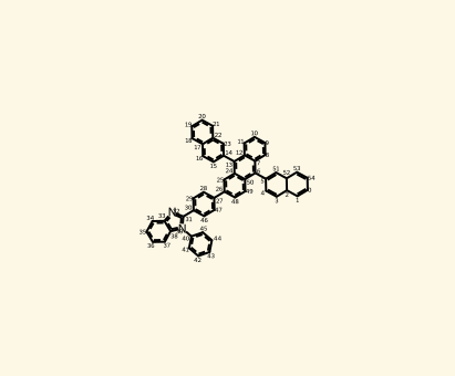 C1=CC2C=CC(c3c4ccccc4c(-c4ccc5ccccc5c4)c4cc(-c5ccc(-c6nc7ccccc7n6-c6ccccc6)cc5)ccc34)=CC2C=C1